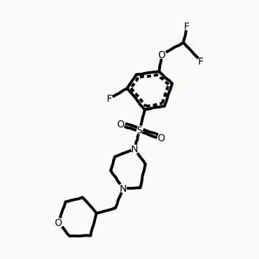 O=S(=O)(c1ccc(OC(F)F)cc1F)N1CCN(CC2CCOCC2)CC1